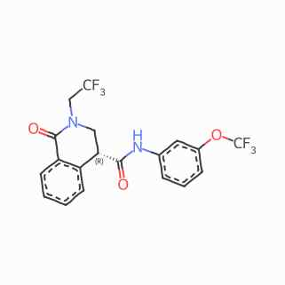 O=C(Nc1cccc(OC(F)(F)F)c1)[C@H]1CN(CC(F)(F)F)C(=O)c2ccccc21